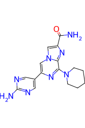 NC(=O)c1cn2cc(-c3cnc(N)nc3)nc(N3CCCCC3)c2n1